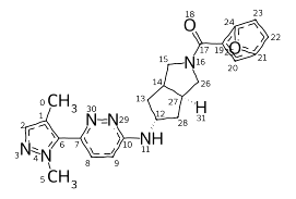 Cc1cnn(C)c1-c1ccc(N[C@@H]2CC3CN(C(=O)c4cc5ccc4o5)C[C@H]3C2)nn1